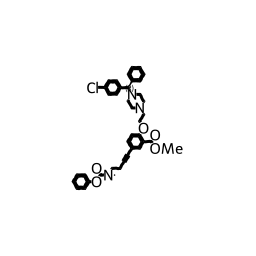 COC(=O)c1cc(C#CCC[N]C(=O)Oc2ccccc2)ccc1OCCN1CCN([C@H](c2ccccc2)c2ccc(Cl)cc2)CC1